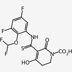 O=C(O)N1CCC(O)=C(C(=S)Nc2cc(F)cc(F)c2OC(F)F)C1=O